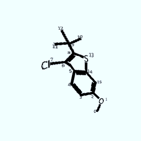 COc1ccc2c(Cl)c(C(C)(C)C)sc2c1